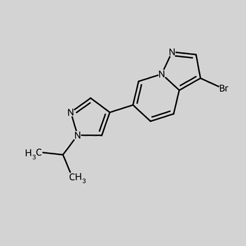 CC(C)n1cc(-c2ccc3c(Br)cnn3c2)cn1